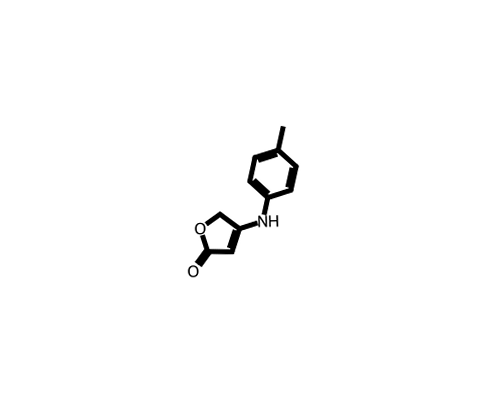 Cc1ccc(NC2=CC(=O)OC2)cc1